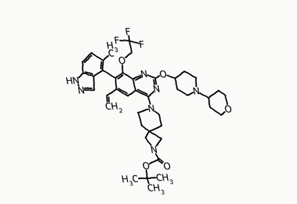 C=Cc1cc2c(N3CCC4(CC3)CN(C(=O)OC(C)(C)C)C4)nc(OC3CCN(C4CCOCC4)CC3)nc2c(OCC(F)(F)F)c1-c1c(C)ccc2[nH]ncc12